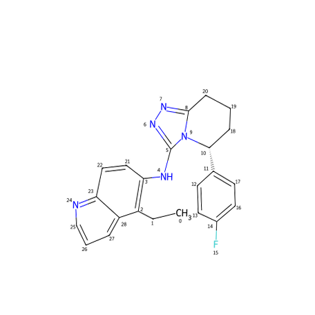 CCc1c(Nc2nnc3n2[C@@H](c2ccc(F)cc2)CCC3)ccc2ncccc12